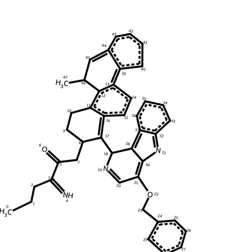 CCCC(=N)C(=O)CC1CCc2c3c(ccc2=C1C1N=CC(OCc2ccccc2)=C2N=c4c[c]ccc4=C21)=c1ccccc1=CC3C